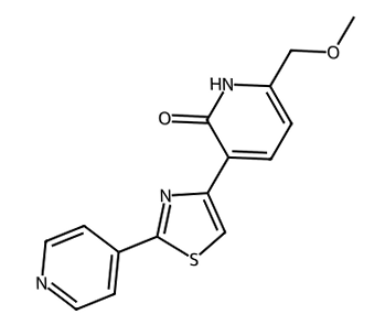 COCc1ccc(-c2csc(-c3ccncc3)n2)c(=O)[nH]1